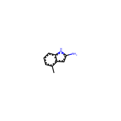 Cc1cccc2[nH]c(N)cc12